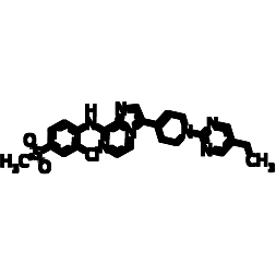 CCc1cnc(N2CC=C(c3cnc4c(Nc5ccc(S(C)(=O)=O)cc5Cl)nccn34)CC2)nc1